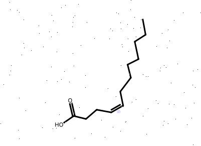 CCCCCCC/C=C\CCC(=O)O